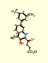 CCOC(=O)CCC(=O)c1nc2cc(-c3cc(C)cc(C)c3)ccc2c(C#N)c1O